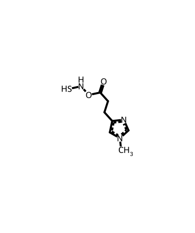 Cn1cnc(CCC(=O)ONS)c1